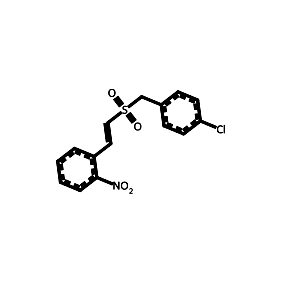 O=[N+]([O-])c1ccccc1/C=C/S(=O)(=O)Cc1ccc(Cl)cc1